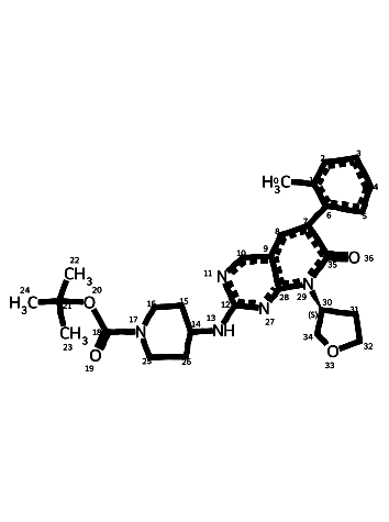 Cc1ccccc1-c1cc2cnc(NC3CCN(C(=O)OC(C)(C)C)CC3)nc2n([C@H]2CCOC2)c1=O